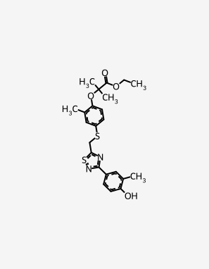 CCOC(=O)C(C)(C)Oc1ccc(SCc2nc(-c3ccc(O)c(C)c3)ns2)cc1C